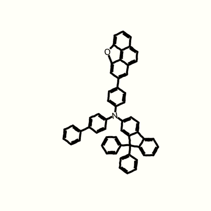 c1ccc(-c2ccc(N(c3ccc(-c4cc5ccc6cccc7oc(c4)c5c67)cc3)c3ccc4c(c3)C(c3ccccc3)(c3ccccc3)c3ccccc3-4)cc2)cc1